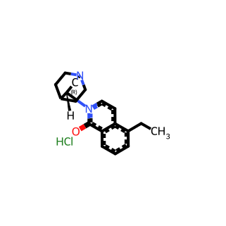 CCc1cccc2c(=O)n([C@H]3CN4CCC3CC4)ccc12.Cl